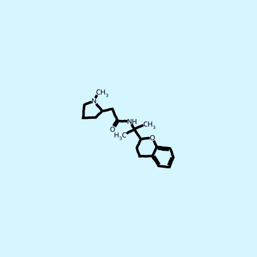 CN1CCCC1CC(=O)NC(C)(C)C1CCc2ccccc2O1